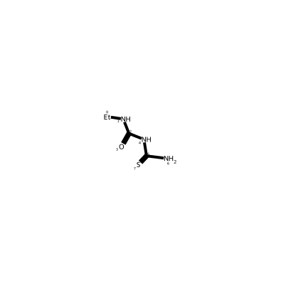 CCNC(=O)NC(N)=S